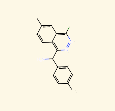 COc1ccc(C(N)c2nnc(Cl)c3cc(C)ccc23)cc1